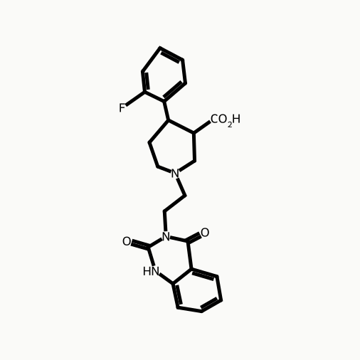 O=C(O)C1CN(CCn2c(=O)[nH]c3ccccc3c2=O)CCC1c1ccccc1F